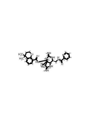 CC1(C)CCOc2c(C(=O)NC3CN4C(=N)N[C@@H](CNC(=O)c5ccccn5)C5NC(=N)N[C@@]54C3(O)O)cccc21